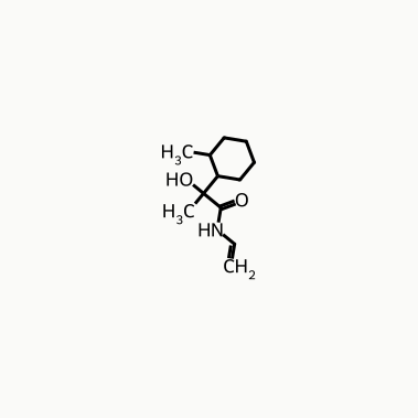 C=CNC(=O)C(C)(O)C1CCCCC1C